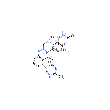 C=C(N)/N=C(C)\C(C#N)=C(/C)N(CCC)CC1=Nc2cccc(-c3cnc(C)nc3)c2/C(=C\CC)N1c1ccccc1